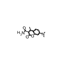 Cc1c(C(N)=O)c(=O)oc2cc(N(C)C)ccc12